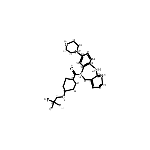 O=C(C1CCC(OCC(F)(F)F)CC1)N1Cc2cccnc2Nc2ccc(N3CCOCC3)cc21